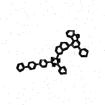 C1=C(c2ccccc2)CCC(c2ccc(-c3nc(-c4ccccc4)nc(-c4ccc5ccc(-c6cc(-c7ccccc7)cc7oc8ccccc8c67)cc5c4)n3)cc2)=C1